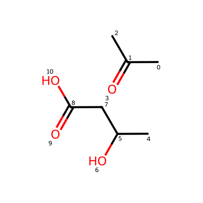 CC(C)=O.CC(O)CC(=O)O